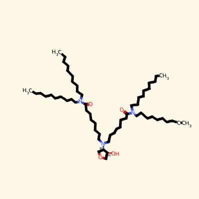 CCCCCCCCCCN(CCCCCCCCCC)C(=O)CCCCCCCN(CCCCCCCC(=O)N(CCCCCCCCCC)CCCCCCCCCC)[C@@H]1COC[C@@H]1O